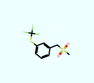 [CH2]S(=O)(=O)Cc1cccc(SC(F)(F)F)c1